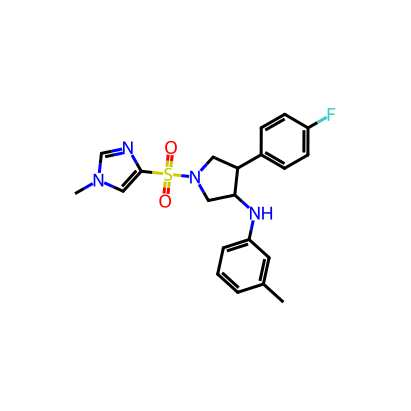 Cc1cccc(NC2CN(S(=O)(=O)c3cn(C)cn3)CC2c2ccc(F)cc2)c1